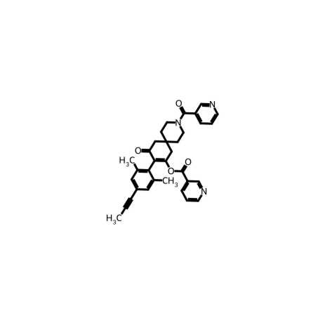 CC#Cc1cc(C)c(C2=C(OC(=O)c3cccnc3)CC3(CCN(C(=O)c4cccnc4)CC3)CC2=O)c(C)c1